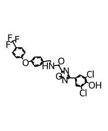 O=C(NCc1ccc(Oc2ccc(C(F)(F)F)cc2)cc1)c1nc(-c2cc(Cl)c(O)c(Cl)c2)no1